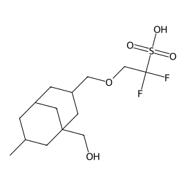 CC1CC2CC(COCC(F)(F)S(=O)(=O)O)CC(CO)(C1)C2